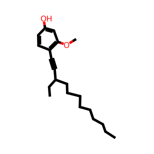 CCCCCCCCCC(C#Cc1ccc(O)cc1OC)CC